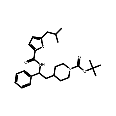 CC(C)Cc1ccc(C(=O)NC(CC2CCN(C(=O)OC(C)(C)C)CC2)c2ccccc2)s1